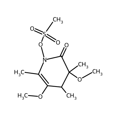 COC1=C(C)N(OS(C)(=O)=O)C(=O)C(C)(OC)C1C